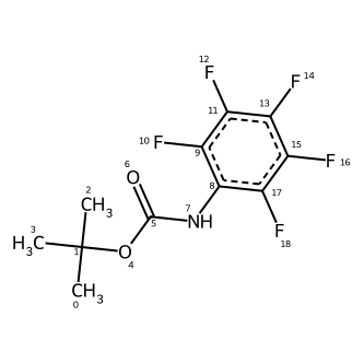 CC(C)(C)OC(=O)Nc1c(F)c(F)c(F)c(F)c1F